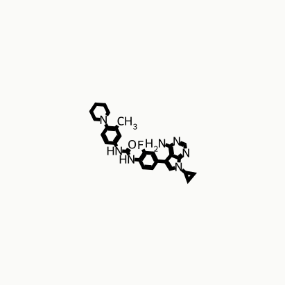 Cc1cc(NC(=O)Nc2ccc(-c3cn(C4CC4)c4ncnc(N)c34)cc2F)ccc1N1CCCCC1